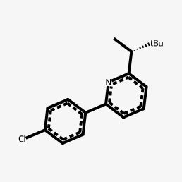 C[C@@H](c1cccc(-c2ccc(Cl)cc2)n1)C(C)(C)C